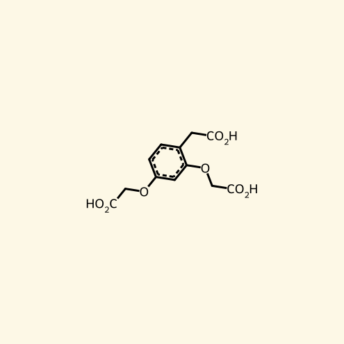 O=C(O)COc1ccc(CC(=O)O)c(OCC(=O)O)c1